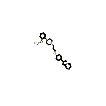 COc1ccccc1N1CCN(CCCOc2ccc(-c3cc4ccccn4c3)cc2)CC1